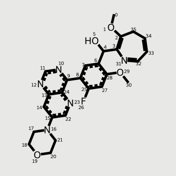 COC1=C(C(O)c2cc(-c3ncnc4cc(N5CCOCC5)cnc34)c(F)cc2OC)N=CC=CC1